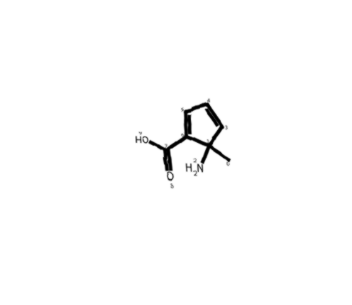 CC1(N)C=CC=C1C(=O)O